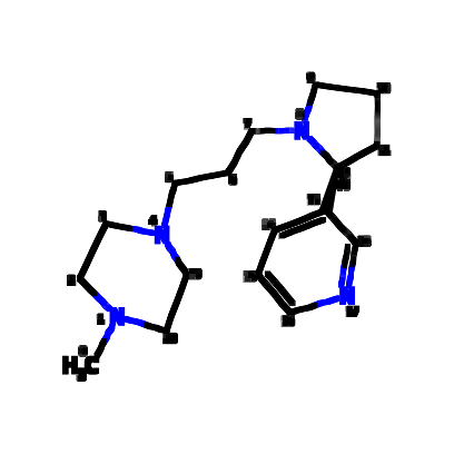 CN1CCN(CCCN2CCC[C@H]2c2cccnc2)CC1